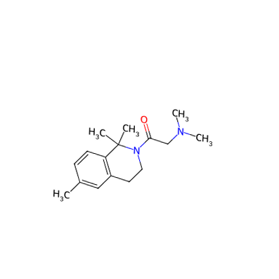 Cc1ccc2c(c1)CCN(C(=O)CN(C)C)C2(C)C